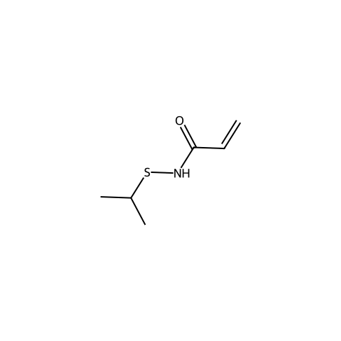 C=CC(=O)NSC(C)C